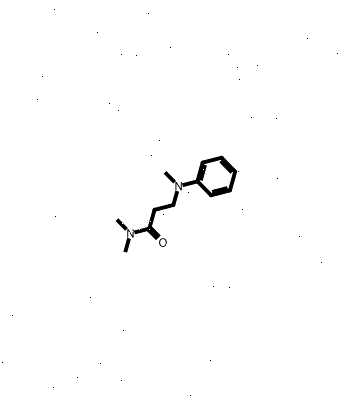 CN(C)C(=O)CCN(C)c1cc[c]cc1